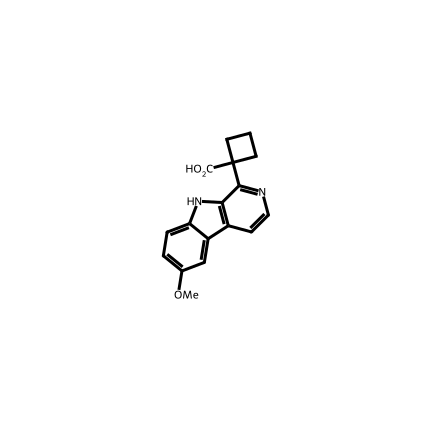 COc1ccc2[nH]c3c(C4(C(=O)O)CCC4)nccc3c2c1